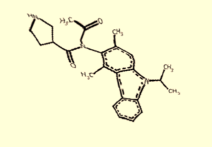 CC(=O)N(C(=O)C1CCNC1)c1c(C)cc2c(c1C)c1ccccc1n2C(C)C